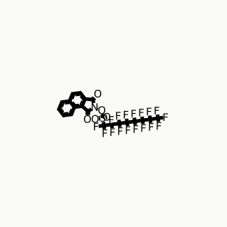 O=C1c2ccc3ccccc3c2C(=O)N1OS(=O)(=O)C(F)(F)C(F)(F)C(F)(F)C(F)(F)C(F)(F)C(F)(F)C(F)(F)C(F)(F)F